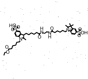 CCOC(=O)CCCCC[N+]1=C(C)C(CCCCCC(=O)NCCNC(=O)CCCCC[N+]2=C(C)C(C)(C)c3cc(S(=O)(=O)O)ccc32)c2cc(S(=O)(=O)O)ccc21